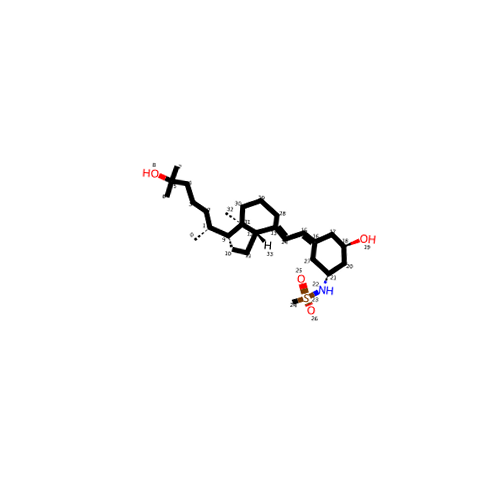 C[C@H](CCCC(C)(C)O)[C@H]1CC[C@H]2/C(=C/C=C3/C[C@@H](O)C[C@H](NS(C)(=O)=O)C3)CCC[C@]12C